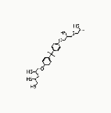 CC(S)CSCC(S)COc1ccc(C(C)(C)c2ccc(OCC(S)SC(S)CS)cc2)cc1